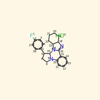 Cl.Fc1ccc(C2CCN3c4ccccc4C4=NC5CCCCC5N4C23)cc1